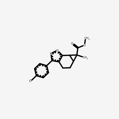 COC(=O)C1(C)C2CCc3c(-c4ccc(Cl)cc4)noc3C21